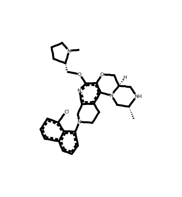 C[C@@H]1CN2c3c4c(nc(OC[C@@H]5CCCN5C)c3OC[C@H]2CN1)CN(c1cccc2cccc(Cl)c12)CC4